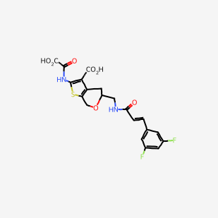 O=C(C=Cc1cc(F)cc(F)c1)NCC1Cc2c(sc(NC(=O)C(=O)O)c2C(=O)O)CO1